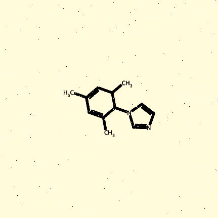 CC1=CC(C)C(n2ccnc2)C(C)=C1